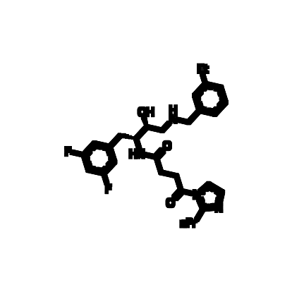 CCCc1nccn1C(=O)CCC(=O)N[C@H](Cc1cc(F)cc(F)c1)[C@@H](O)CNCc1cccc(CC)c1